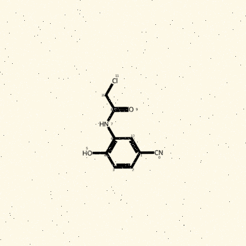 N#Cc1ccc(O)c(NC(=O)CCl)c1